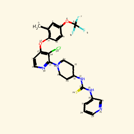 Cc1cc(OC(F)(F)F)ccc1Oc1ccnc(N2CCC(NC(=S)Nc3cccnc3)CC2)c1Cl